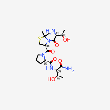 C[C@@H](O)[C@H](N)C(=O)N1[C@H](C(=O)N2CCC[C@H]2C(=O)N[C@H](C(N)=O)[C@@H](C)O)CSC1(C)C